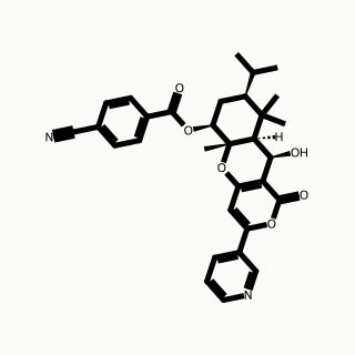 CC(C)[C@@H]1C[C@H](OC(=O)c2ccc(C#N)cc2)[C@@]2(C)Oc3cc(-c4cccnc4)oc(=O)c3[C@H](O)[C@@H]2C1(C)C